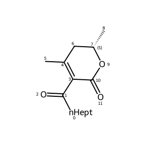 CCCCCCCC(=O)C1=C(C)C[C@H](C)OC1=O